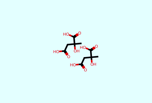 CC(O)(CC(=O)O)C(=O)O.CC(O)(CC(=O)O)C(=O)O